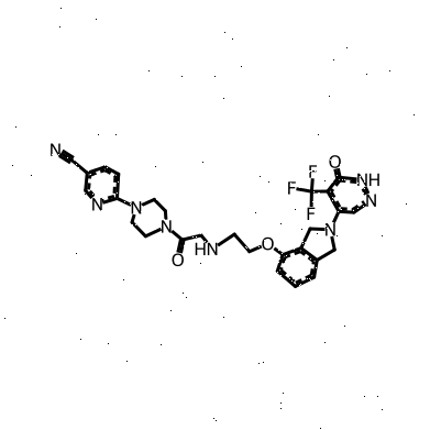 N#Cc1ccc(N2CCN(C(=O)CNCCOc3cccc4c3CN(c3cn[nH]c(=O)c3C(F)(F)F)C4)CC2)nc1